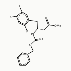 COC(=O)C[C@@H](Cc1cc(F)c(F)cc1F)NC(=O)OCc1ccccc1